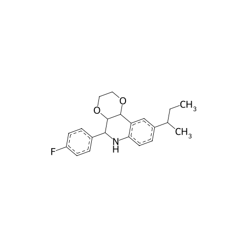 CCC(C)c1ccc2c(c1)C1OCCOC1C(c1ccc(F)cc1)N2